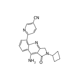 N#Cc1ccc(-c2cccc3c(N)c4c(nc23)CN(C2CCC2)C4=O)nc1